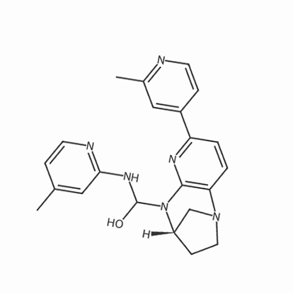 Cc1ccnc(NC(O)N2c3nc(-c4ccnc(C)c4)ccc3N3CC[C@H]2C3)c1